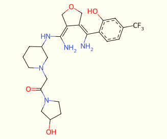 N/C(NC1CCCN(CC(=O)N2CCC(O)C2)C1)=C1/COC/C1=C(/N)c1ccc(C(F)(F)F)cc1O